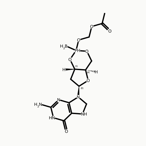 B[PH]1(OCOC(C)=O)OC[C@H]2O[C@@H](N3CNc4c3nc(N)[nH]c4=O)C[C@@H]2O1